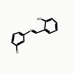 Oc1ccccc1/C=N/c1cccc(Cl)c1